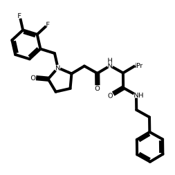 CC(C)C(NC(=O)CC1CCC(=O)N1Cc1cccc(F)c1F)C(=O)NCCc1ccccc1